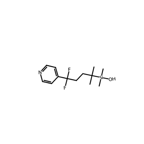 CC(C)(CCC(F)(F)c1ccncc1)[Si](C)(C)O